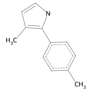 CC1=C(c2ccc(C)cc2)[N]C=C1